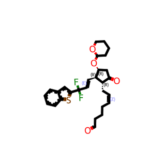 O=CCCC/C=C\C[C@H]1C(=O)C[C@@H](OC2CCCCO2)[C@@H]1/C=C/C(F)(F)c1cc2ccccc2s1